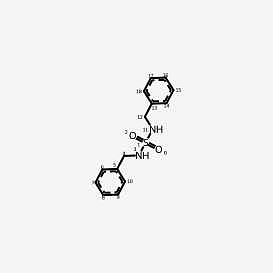 O=S(=O)(NCc1ccccc1)NCc1ccccc1